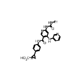 CCNC(=O)Nc1cc(Nc2cccnc2)c(C(=O)Nc2ccc(C3C[C@H]3C(=O)O)cc2)cn1